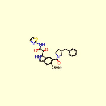 COc1cc2c[nH]c(C(=O)C(=O)Nc3nccs3)c2cc1C(=O)N1CCC(Cc2ccccc2)C1